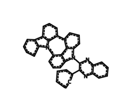 c1ccc(-c2nc3ccccc3nc2-n2c3cccc4c5cccc6c7ccccc7n(c7cccc2c7c43)c56)cc1